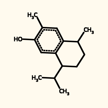 Cc1cc2c(cc1O)C(C(C)C)CCC2C